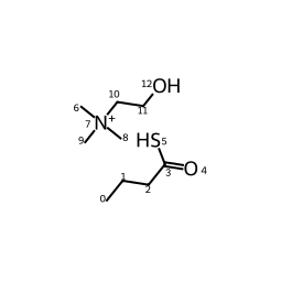 CCCC(=O)S.C[N+](C)(C)CCO